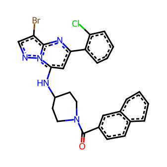 O=C(c1ccc2ccccc2c1)N1CCC(Nc2cc(-c3ccccc3Cl)nc3c(Br)cnn23)CC1